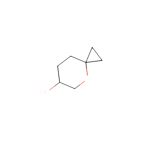 OC1CCC2(CC2)OC1